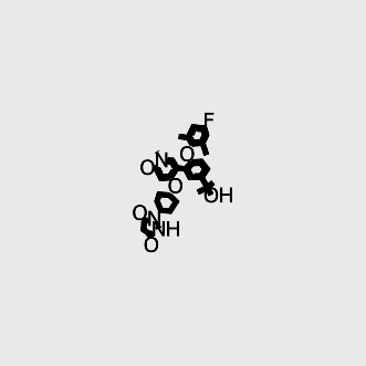 Cc1cc(F)cc(C)c1Oc1ccc(C(C)(C)O)cc1-c1cn(C)c(=O)cc1OC1CCC(N2NC(=O)CC2=O)CC1